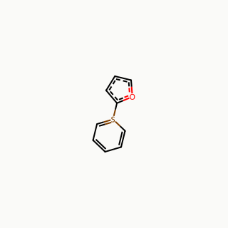 C1=CC=S(c2ccco2)C=C1